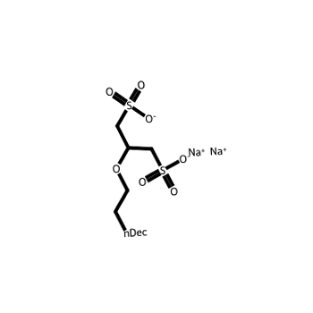 CCCCCCCCCCCCOC(CS(=O)(=O)[O-])CS(=O)(=O)[O-].[Na+].[Na+]